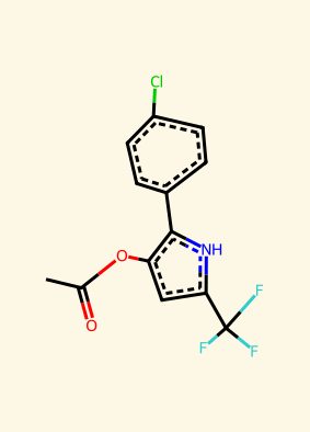 CC(=O)Oc1cc(C(F)(F)F)[nH]c1-c1ccc(Cl)cc1